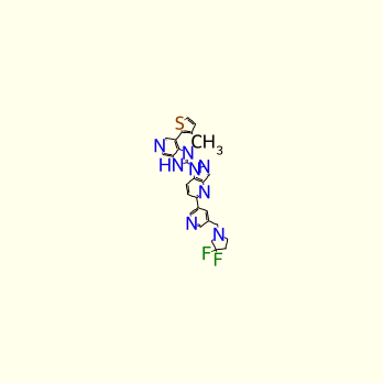 Cc1ccsc1-c1cncc2[nH]c(-n3ncc4nc(-c5cncc(CN6CCC(F)(F)C6)c5)ccc43)nc12